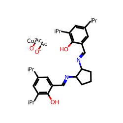 CC(=O)[O-].CC(=O)[O-].CC(C)c1cc(C=NC2CCCC2N=Cc2cc(C(C)C)cc(C(C)C)c2O)c(O)c(C(C)C)c1.[Co+2]